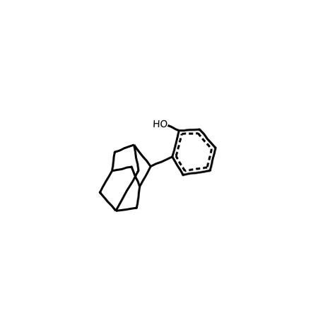 Oc1ccccc1C1C2CC3CC(C2)CC1C3